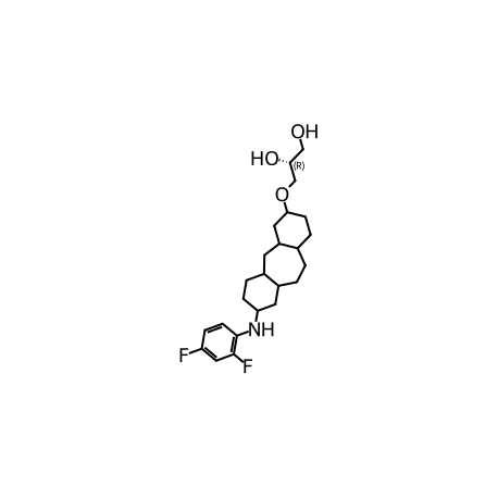 OC[C@@H](O)COC1CCC2CCC3CC(Nc4ccc(F)cc4F)CCC3CC2C1